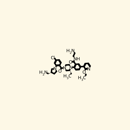 CCOc1ncccc1-c1ccc(N2CCN(C(=O)c3ccc(Cl)cc3N3CC[C@H](CN)C3)C[C@H]2CC)c(C(=O)NCCN)c1